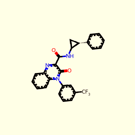 O=C(NC1C[C@@H]1c1ccccc1)c1nc2ccccc2n(-c2cccc(C(F)(F)F)c2)c1=O